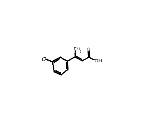 C/C(=C\C(=O)O)c1cccc(Cl)c1